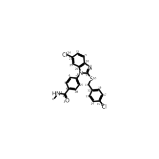 CNC(=O)c1ccc(-n2c(SCc3ccc(Cl)cc3)nc3ccc(Cl)cc32)cc1